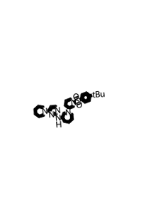 CC(C)(C)c1ccc(S(=O)(=O)N2CCCC(N3CCCCC(Nc4nccc(N5CCCCCC5)n4)C3)C2)cc1